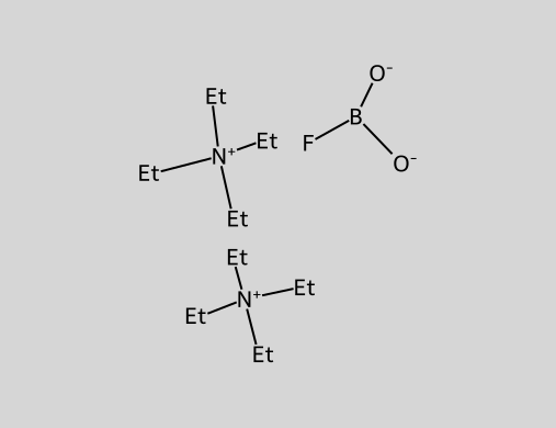 CC[N+](CC)(CC)CC.CC[N+](CC)(CC)CC.[O-]B([O-])F